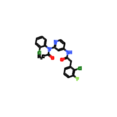 CC(=O)N(c1cc(NC(=O)Cc2cccc(F)c2Cl)ccn1)c1ccccc1Cl